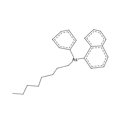 CCCCCCCC[As](c1ccccc1)c1cccc2ccccc12